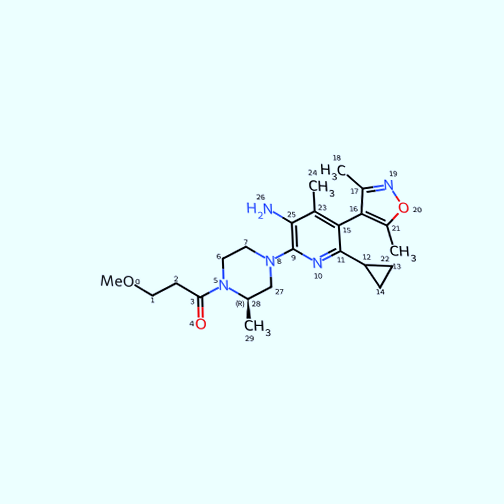 COCCC(=O)N1CCN(c2nc(C3CC3)c(-c3c(C)noc3C)c(C)c2N)C[C@H]1C